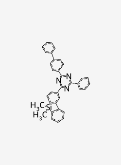 C[Si]1(C)c2ccccc2-c2cc(-c3nc(-c4ccccc4)nc(-c4ccc(-c5ccccc5)cc4)n3)ccc21